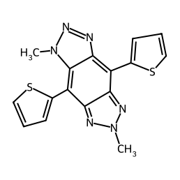 Cn1nc2c(-c3cccs3)c3nnn(C)c3c(-c3cccs3)c2n1